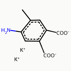 Cc1cc(C(=O)[O-])c(C(=O)[O-])cc1N.[K+].[K+]